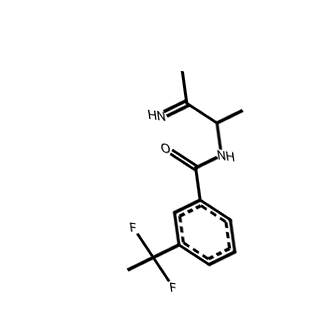 CC(=N)C(C)NC(=O)c1cccc(C(C)(F)F)c1